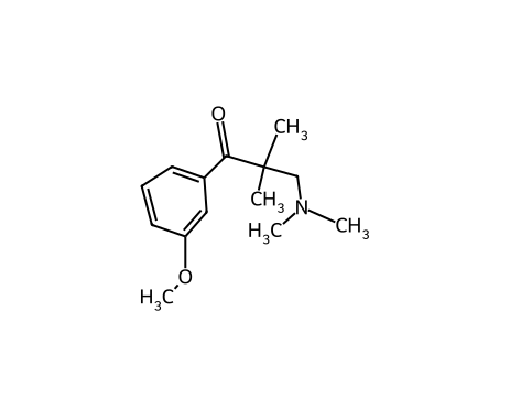 COc1cccc(C(=O)C(C)(C)CN(C)C)c1